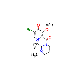 CCCCOc1c2n(cc(Br)c1=O)C1(CC1)C1N(C)CCCN1C2=O